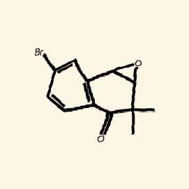 CC1(C)C(=O)c2ccc(Br)cc2C2OC21